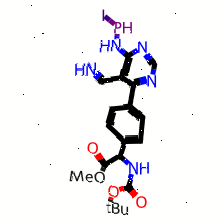 COC(=O)C(NC(=O)OC(C)(C)C)c1ccc(-c2ncnc(NPI)c2C=N)cc1